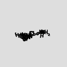 C=C(/N=C\NN)c1ccc(C2=CCC(c3nc4nc(O[C@@H]5CO[C@H]6[C@@H]5OC[C@H]6O)[nH]c4cc3Cl)C=C2)cc1